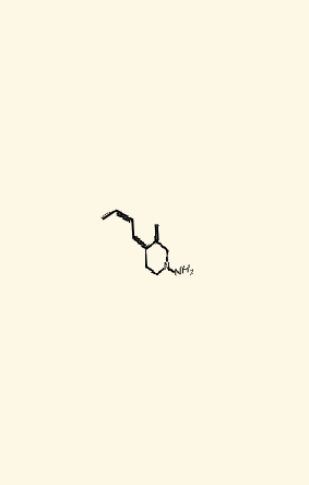 C=C1CN(N)CC/C1=C/C=C\C